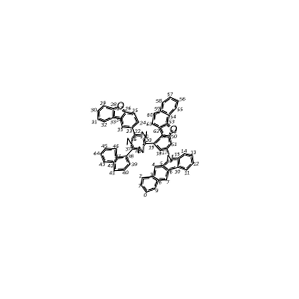 c1ccc2cc3c(cc2c1)c1ccccc1n3-c1cc(-c2nc(-c3ccc4oc5ccccc5c4c3)nc(-c3cccc4ccccc34)n2)c2c(c1)oc1c3ccccc3ccc12